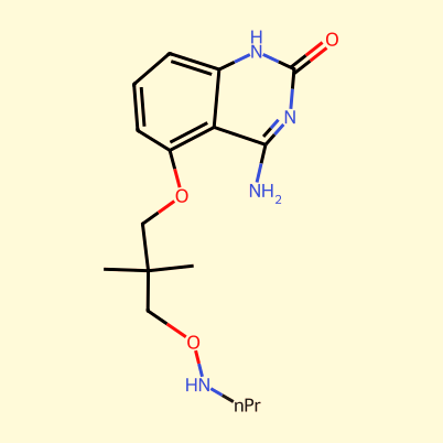 CCCNOCC(C)(C)COc1cccc2[nH]c(=O)nc(N)c12